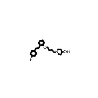 OC1CCN(CCCCOc2ccccc2C=Cc2ccc(F)cc2)CC1